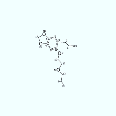 C=CCc1cc2c(cc1OCCOCCC)OCO2